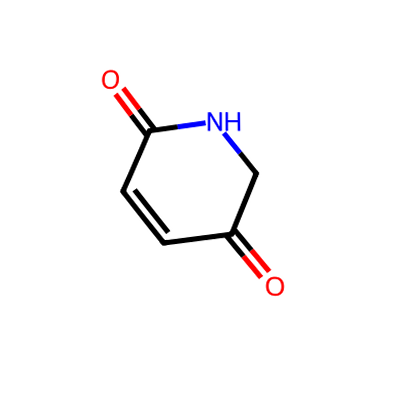 O=C1C=CC(=O)NC1